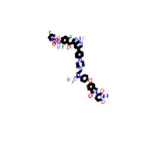 CN(CCN1CCN(c2ccc(-c3cnc4[nH]cc(C(=O)c5c(F)ccc(NS(=O)(=O)N6CC[C@@H](F)C6)c5F)c4c3)cc2)CC1)C1CCC(Oc2ccc3c(c2)CN(C2CCC(=O)NC2=O)C3=O)CC1